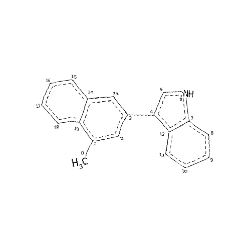 Cc1cc(-c2c[nH]c3ccccc23)cc2ccccc12